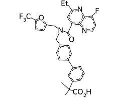 CCc1cc(C(=O)N(Cc2ccc(-c3cccc(C(C)(C)C(=O)O)c3)cc2)Cc2ccc(C(F)(F)F)o2)c2nccc(F)c2n1